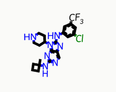 CC1(Nc2ncc3nc(Nc4cc(Cl)cc(C(F)(F)F)c4)n(C4CCNCC4)c3n2)CCC1